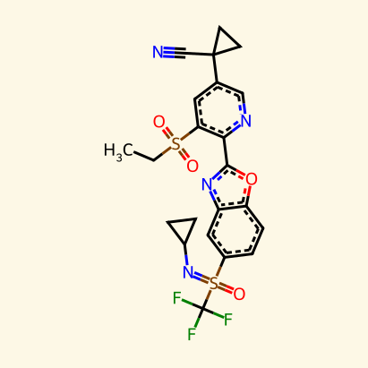 CCS(=O)(=O)c1cc(C2(C#N)CC2)cnc1-c1nc2cc(S(=O)(=NC3CC3)C(F)(F)F)ccc2o1